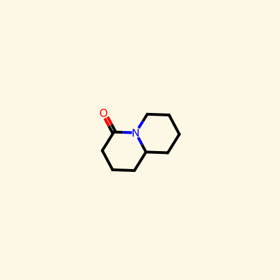 O=C1CCCC2CCCCN12